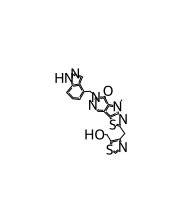 Cn1c2nc(Cc3ncsc3CO)sc2c2cnn(Cc3cccc4[nH]ncc34)c(=O)c21